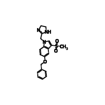 CS(=O)(=O)c1cn(CC2=NCCN2)c2ccc(OCc3ccccc3)cc12